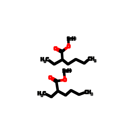 CCCCC(CC)C(=O)[O][SnH].CCCCC(CC)C(=O)[O][SnH]